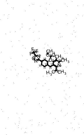 COC(=O)Oc1c(C)c(C)nc(C(C)C)c1CC1CCC(c2noc(C(F)(F)F)n2)CC1